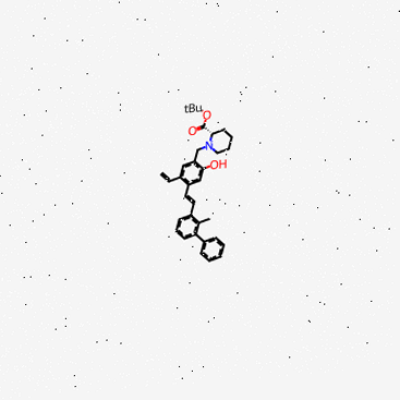 C=Cc1cc(CN2CCCC[C@H]2C(=O)OC(C)(C)C)c(O)cc1/C=C/c1cccc(-c2ccccc2)c1C